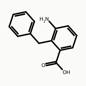 Nc1cccc(C(=O)O)c1Cc1ccccc1